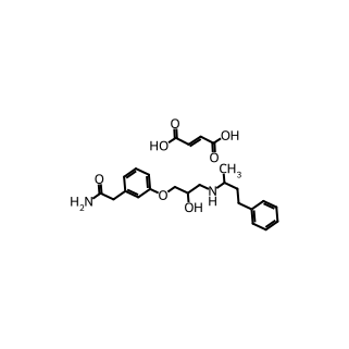 CC(CCc1ccccc1)NCC(O)COc1cccc(CC(N)=O)c1.O=C(O)C=CC(=O)O